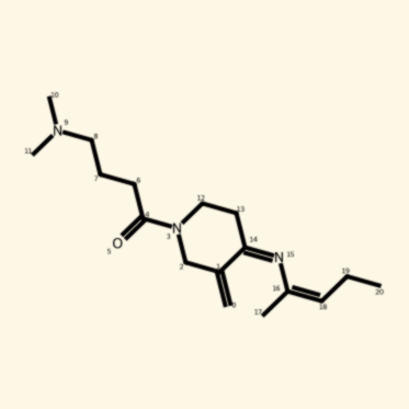 C=C1CN(C(=O)CCCN(C)C)CC/C1=N/C(C)=C\CC